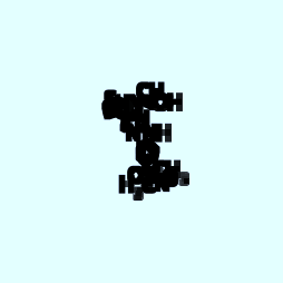 C[C@H](CO)Nc1nc(Nc2ccc(C(=O)S(C)(C)N=O)cc2)ncc1-c1ccsc1